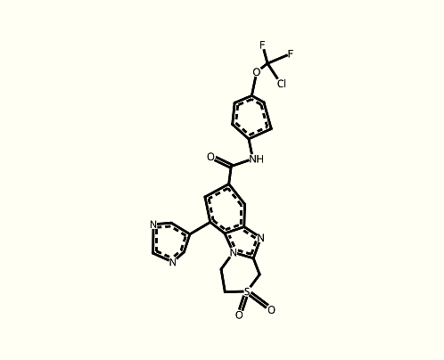 O=C(Nc1ccc(OC(F)(F)Cl)cc1)c1cc(-c2cncnc2)c2c(c1)nc1n2CCS(=O)(=O)C1